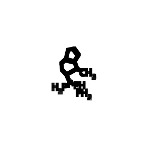 CC1C2=C(CC=C2)CCC1P(P)PP